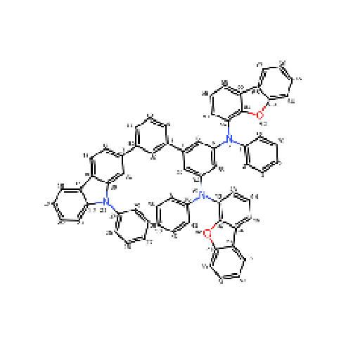 c1ccc(N(c2cc(-c3cccc(-c4ccc5c6ccccc6n(-c6ccccc6)c5c4)c3)cc(N(c3ccccc3)c3cccc4c3oc3ccccc34)c2)c2cccc3c2oc2ccccc23)cc1